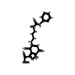 CNC(=O)c1n[nH]c2c1C(=O)C(SCCCNC(=O)Oc1ccccc1)=CC2=O